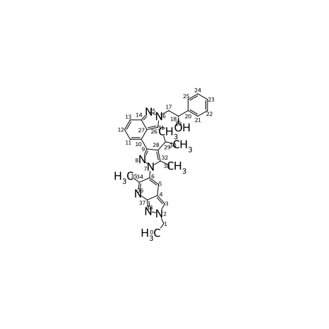 CCn1cc2cc(-n3nc(-c4cccc5nn(C[C@H](O)c6ccccc6)cc45)c(C(C)C)c3C)c(C)nc2n1